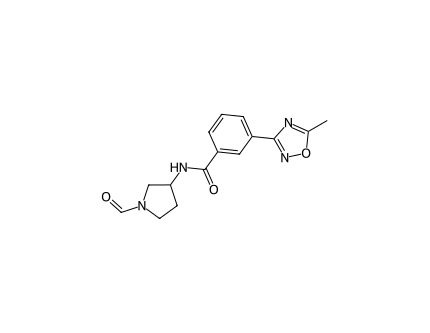 Cc1nc(-c2cccc(C(=O)NC3CCN(C=O)C3)c2)no1